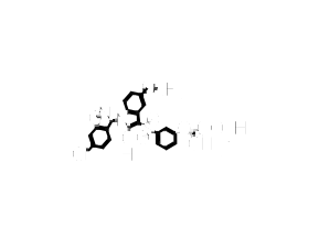 Cc1c(S(=O)(=O)c2cccc(O[C@@H](C)C(=O)O)c2)c2cc(OC(F)(F)F)ccc2n1-c1noc2cc(Cl)ccc12